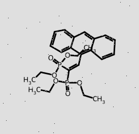 CCOP(=O)(OCC)C(=Cc1c2ccccc2cc2ccccc12)P(=O)(OCC)OCC